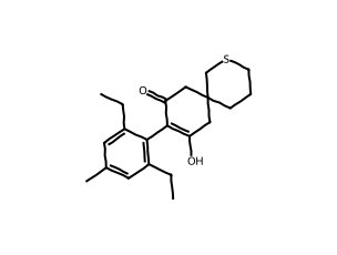 CCc1cc(C)cc(CC)c1C1=C(O)CC2(CCCSC2)CC1=O